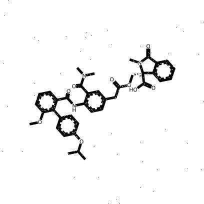 COc1cccc(C(=O)Nc2ccc(CC(=O)OC[C@@]3(C(=O)O)c4ccccc4C(=O)N3C)cc2C(=O)N(C)C)c1-c1ccc(OC(C)C)cc1